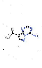 CCCCCCC(CC)c1cnn2c(N)ncnc12